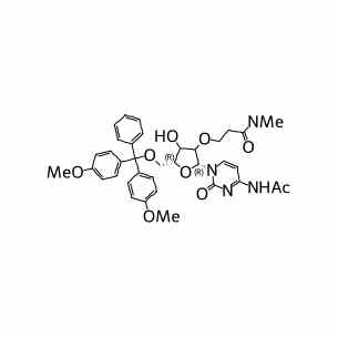 CNC(=O)CCOC1C(O)[C@@H](COC(c2ccccc2)(c2ccc(OC)cc2)c2ccc(OC)cc2)O[C@H]1n1ccc(NC(C)=O)nc1=O